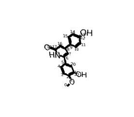 COc1ccc(-c2cc(-c3ccc(O)cc3)cc(=O)[nH]2)cc1O